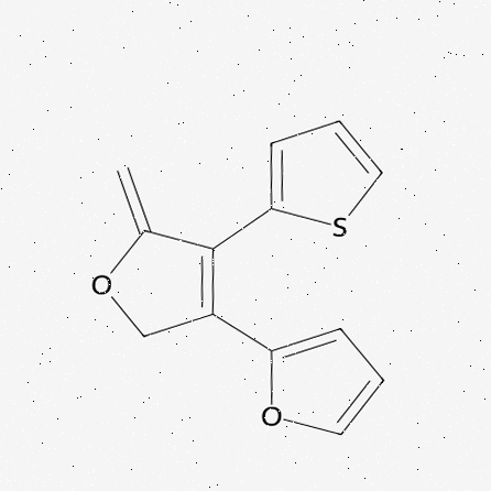 C=C1OCC(c2ccco2)=C1c1cccs1